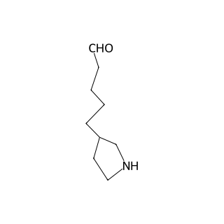 O=CCCCCC1CCNC1